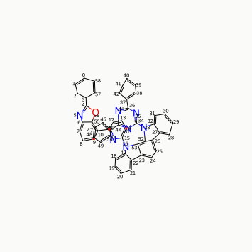 C1=CCC(c2nc3cccc(-c4cccc(-n5c6ccccc6c6ccc7c8ccccc8n(-c8nc(-c9ccccc9)nc(-c9ccccc9)n8)c7c65)n4)c3o2)C=C1